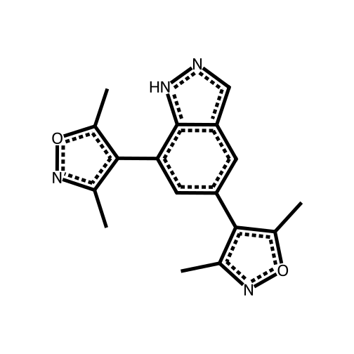 Cc1noc(C)c1-c1cc(-c2c(C)noc2C)c2[nH]ncc2c1